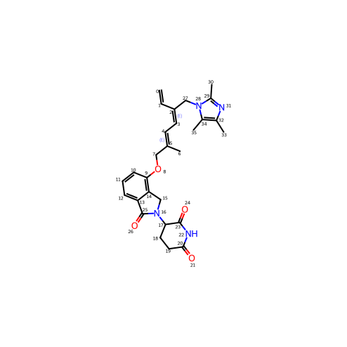 C=C/C(=C\C=C(/C)COc1cccc2c1CN(C1CCC(=O)NC1=O)C2=O)Cn1c(C)nc(C)c1C